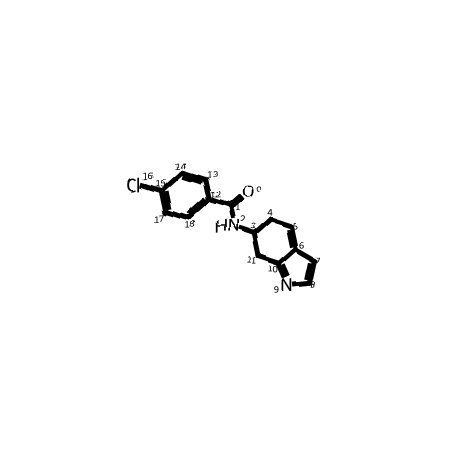 O=C(NC1CC=C2C=CN=C2C1)c1ccc(Cl)cc1